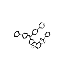 c1ccc(-c2ccc(N(c3ccc(-c4ccccc4)cc3)c3ccc4oc5ccc6nc(-c7ccccc7)sc6c5c4c3)cc2)cc1